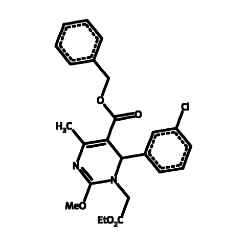 CCOC(=O)CN1C(OC)=NC(C)=C(C(=O)OCc2ccccc2)C1c1cccc(Cl)c1